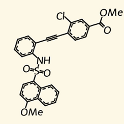 COC(=O)c1ccc(C#Cc2ccccc2NS(=O)(=O)c2ccc(OC)c3ccccc23)c(Cl)c1